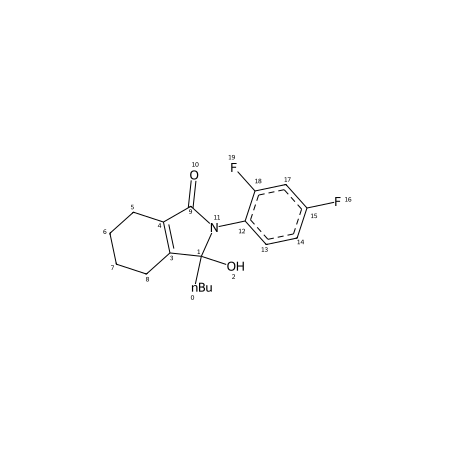 CCCCC1(O)C2=C(CCCC2)C(=O)N1c1ccc(F)cc1F